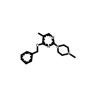 Cc1cnc(N2CCN(C)CC2)nc1OCc1ccccc1